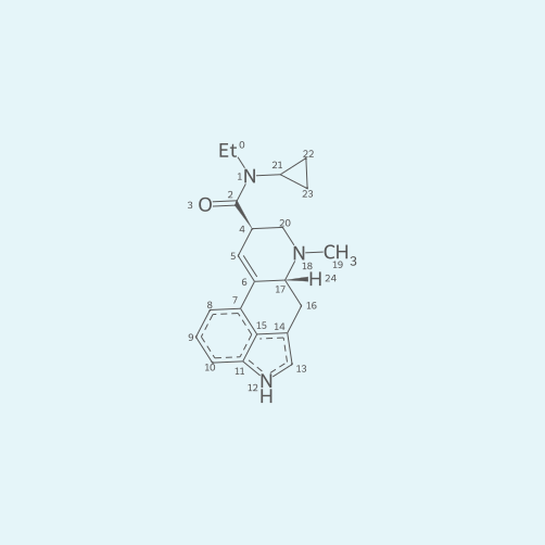 CCN(C(=O)[C@@H]1C=C2c3cccc4[nH]cc(c34)C[C@H]2N(C)C1)C1CC1